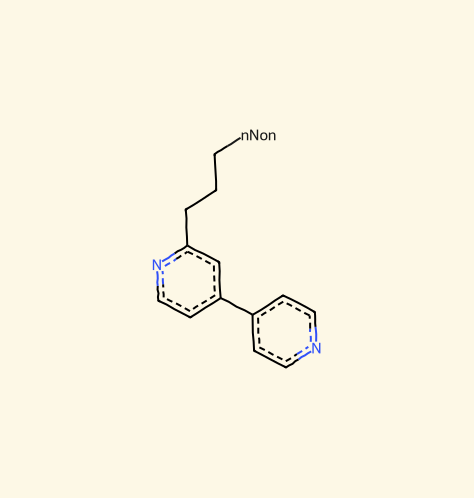 CCCCCCCCCCCCc1cc(-c2ccncc2)ccn1